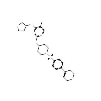 O=S(=O)(c1ccc(C2=CCNCC2)cc1)N1CCC(Nc2ncc(C(F)(F)F)c(OC3CCOC3)n2)CC1